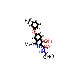 COc1nc(C(=O)NCC=O)c(O)c2ccc(Oc3cccc(C(F)(F)F)c3)cc12